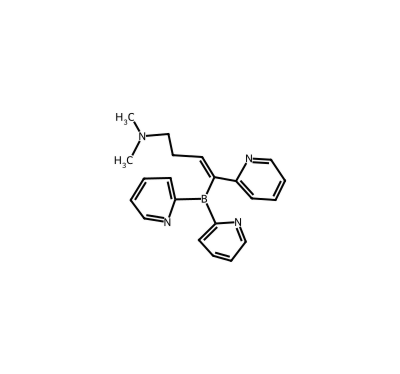 CN(C)CC/C=C(\B(c1ccccn1)c1ccccn1)c1ccccn1